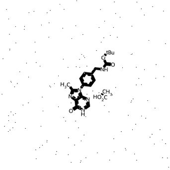 CC(=O)O.Cc1nc2c(=O)[nH]cnc2n1-c1ccc(CNC(=O)OC(C)(C)C)cc1